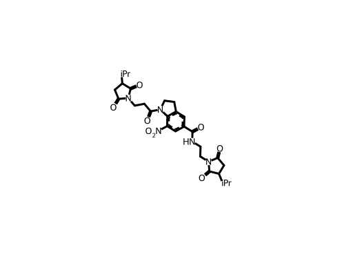 CC(C)C1CC(=O)N(CCNC(=O)c2cc3c(c([N+](=O)[O-])c2)N(C(=O)CCN2C(=O)CC(C(C)C)C2=O)CC3)C1=O